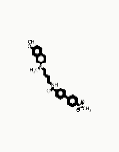 COc1ccc2c(c1)C[C@H](N(C)CCCCNC(=O)c1ccc(-c3ccc(S(C)(=O)=O)cc3)cc1)CC2